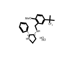 COc1ccc(C(C)(C)C(F)(F)F)cc1CN[C@@H]1CCN[C@@H]1c1ccccc1.Cl.Cl